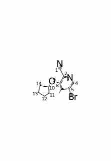 N#Cc1ncc(Br)cc1OC1CCCC1